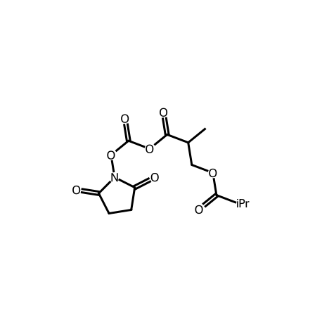 CC(C)C(=O)OCC(C)C(=O)OC(=O)ON1C(=O)CCC1=O